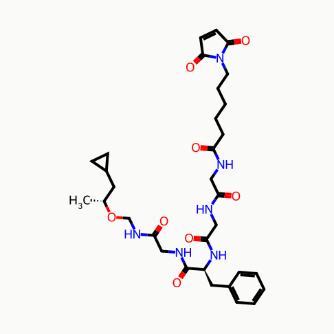 C[C@H](CC1CC1)OCNC(=O)CNC(=O)[C@H](Cc1ccccc1)NC(=O)CNC(=O)CNC(=O)CCCCCN1C(=O)C=CC1=O